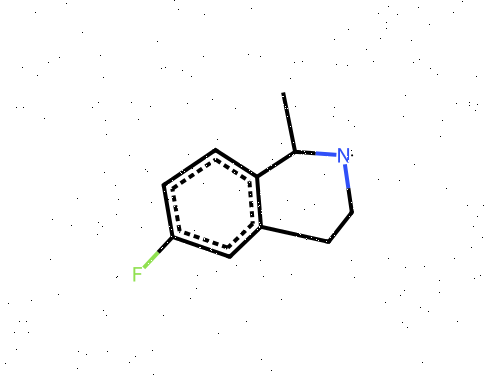 CC1[N]CCc2cc(F)ccc21